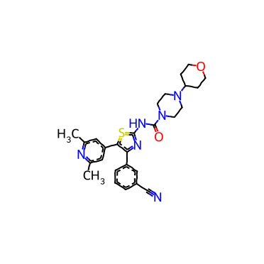 Cc1cc(-c2sc(NC(=O)N3CCN(C4CCOCC4)CC3)nc2-c2cccc(C#N)c2)cc(C)n1